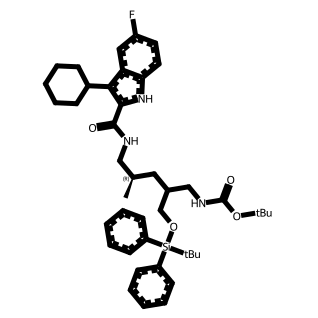 C[C@@H](CNC(=O)c1[nH]c2ccc(F)cc2c1C1CCCCC1)CC(CNC(=O)OC(C)(C)C)CO[Si](c1ccccc1)(c1ccccc1)C(C)(C)C